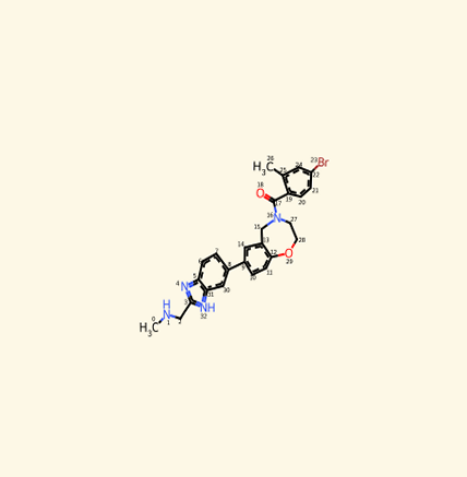 CNCc1nc2ccc(-c3ccc4c(c3)CN(C(=O)c3ccc(Br)cc3C)CCO4)cc2[nH]1